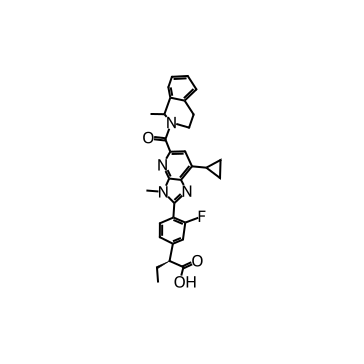 CC[C@H](C(=O)O)c1ccc(-c2nc3c(C4CC4)cc(C(=O)N4CCc5ccccc5C4C)nc3n2C)c(F)c1